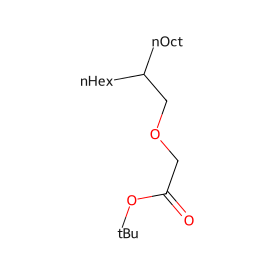 CCCCCCCCC(CCCCCC)COCC(=O)OC(C)(C)C